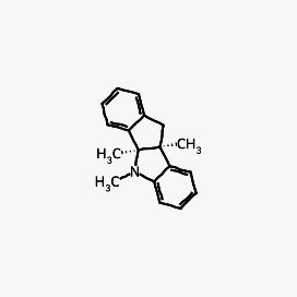 CN1c2ccccc2[C@]2(C)Cc3ccccc3[C@]12C